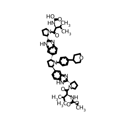 COC(=O)N[C@H](C(=O)N1CCC[C@H]1c1nc2cc([C@H]3CC[C@H](c4ccc5nc([C@@H]6CCCN6C(=O)[C@@H](NC(=O)O)C(C)C)[nH]c5c4)N3c3ccc(C4CCOCC4)cc3)ccc2[nH]1)C(C)C